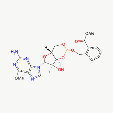 COC(=O)c1ccccc1COP1OC[C@H]2O[C@@H](n3cnc4c(OC)nc(N)nc43)[C@](C)(O)[C@@H]2O1